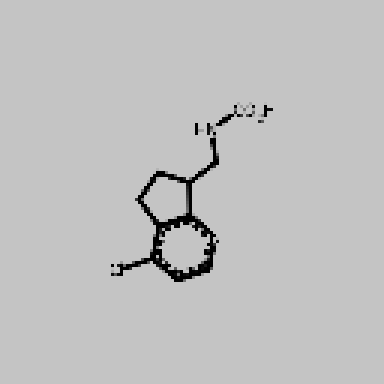 O=C(O)NCC1CCc2c(Cl)ccnc21